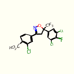 O=C(O)c1ccc(C2=NOC(c3cc(Cl)c(F)c(Cl)c3)(C(F)(F)F)C2)cc1Cl